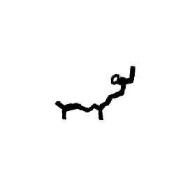 C=CC(=O)C=CC=C(C)CCC=C(C)C